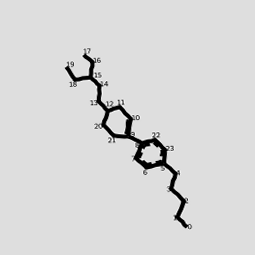 CCCCCc1ccc(C2=CCC(CCC(CC)CC)CC2)cc1